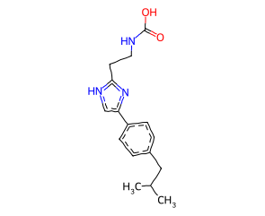 CC(C)Cc1ccc(-c2c[nH]c(CCNC(=O)O)n2)cc1